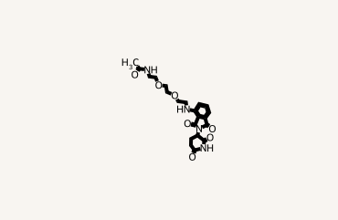 CC(=O)NCCOCCOCCNc1cccc2c1C(=O)N(C1CCC(=O)NC1=O)C2=O